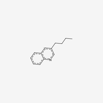 CCCCc1[c]c2ccccc2nc1